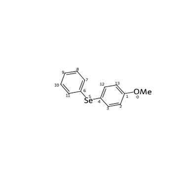 COc1ccc([Se]c2ccccc2)cc1